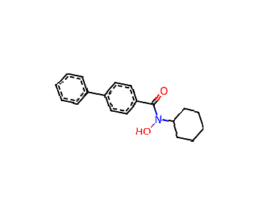 O=C(c1ccc(-c2ccccc2)cc1)N(O)C1CCCCC1